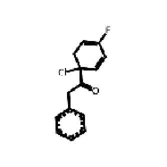 O=C(Cc1ccccc1)C1(Cl)C=CC(F)=CC1